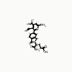 N#Cc1c(C(F)F)cc(N)nc1-c1ccc2c(c1)CN([C@@H](CCC(=O)O)C(N)=O)C2=O